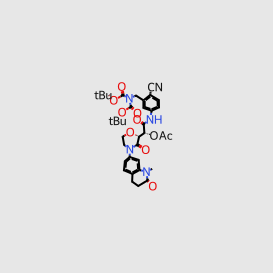 CC(=O)O[C@@H](C(=O)Nc1ccc(C#N)c(CN(C(=O)OC(C)(C)C)C(=O)OC(C)(C)C)c1)[C@H]1OCCN(c2ccc3c(c2)N(C)C(=O)CC3)C1=O